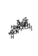 CC(C)(C)[C@H](NC(=O)C(F)(F)F)C(=O)N1CC2(CC2)CC1C(=O)N[C@H](C#N)C[C@@H]1CC2(CC2)NC1=O